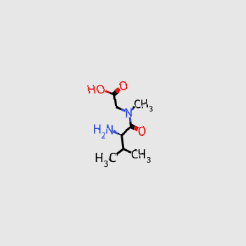 CC(C)[C@@H](N)C(=O)N(C)CC(=O)O